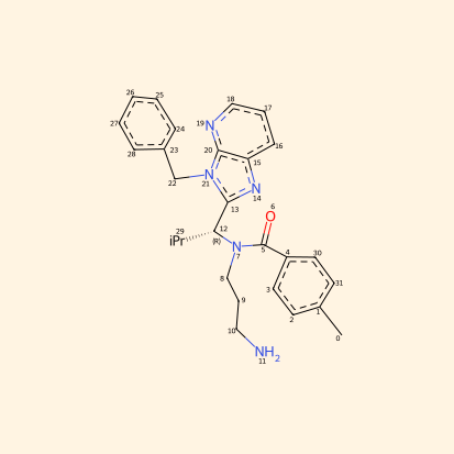 Cc1ccc(C(=O)N(CCCN)[C@@H](c2nc3cccnc3n2Cc2ccccc2)C(C)C)cc1